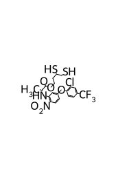 CC(Nc1cc(Oc2ccc(C(F)(F)F)cc2Cl)ccc1[N+](=O)[O-])C(=O)OCCC(S)CS